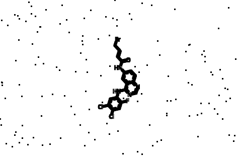 O=C(C=CCBr)Nc1ccc2ncnc(Nc3cc(Cl)c(Cl)cc3F)c2c1